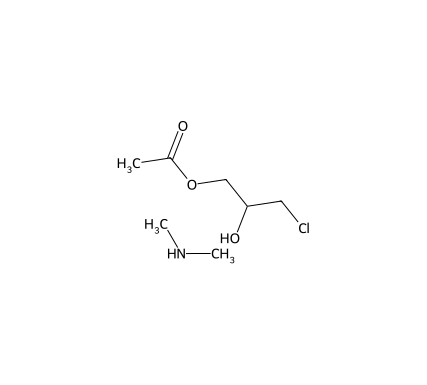 CC(=O)OCC(O)CCl.CNC